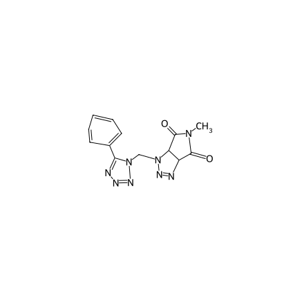 CN1C(=O)C2N=NN(Cn3nnnc3-c3ccccc3)C2C1=O